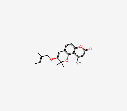 CC=C(C)COC1=Cc2ccc3oc(=O)cc(CCC)c3c2OC1(C)C